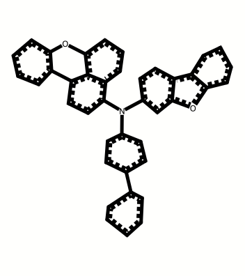 c1ccc(-c2ccc(N(c3ccc4c(c3)oc3ccccc34)c3ccc4c5c(cccc35)Oc3ccccc3-4)cc2)cc1